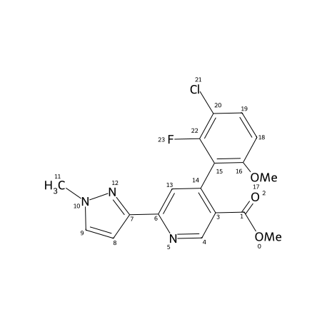 COC(=O)c1cnc(-c2ccn(C)n2)cc1-c1c(OC)ccc(Cl)c1F